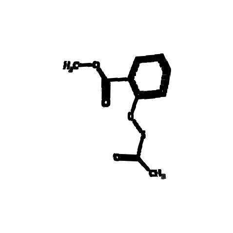 COC(=O)c1ccccc1OSC(C)=O